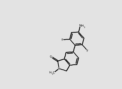 CN1Cc2ccc(-c3c(F)cc(N)cc3F)cc2C1=O